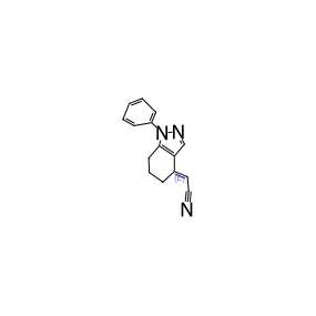 N#C/C=C1\CCCc2c1cnn2-c1ccccc1